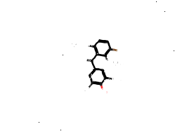 COc1ccc(Br)c(OC)c1C(C=O)c1cc(C(C)(C)C)c(O)c(C(C)(C)C)c1